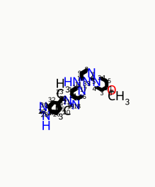 COC1CCN(c2nccc(Nc3cc4c(cn3)nc(C)n4[C@H](C)c3ccc4[nH]cnc4c3)n2)CC1